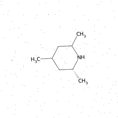 CC1CC(C)N[C@H](C)C1